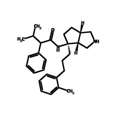 Cc1ccccc1CCC[C@]1(NC(=O)C(c2ccccc2)C(C)C)CC[C@@H]2CNC[C@@H]21